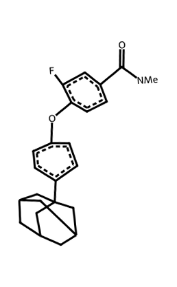 CNC(=O)c1ccc(Oc2ccc(C34CC5CC(CC(C5)C3)C4)cc2)c(F)c1